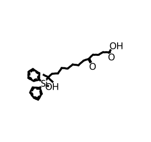 CC(C)(CCCCCCCC(=O)CCCC(=O)O)[Si](O)(c1ccccc1)c1ccccc1